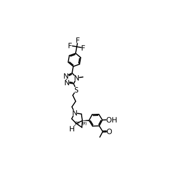 CC(=O)c1cc([C@@]23C[C@H]2CN(CCCSc2nnc(-c4ccc(C(F)(F)F)cc4)n2C)C3)ccc1O